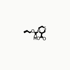 C=CCOC(=O)N1CCSCC1C(=O)O